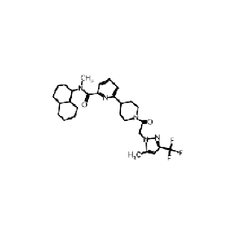 Cc1cc(C(F)(F)F)nn1CC(=O)N1CCC(c2cccc(C(=O)N(C)C3CCCC4CCCCC43)n2)CC1